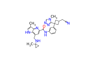 Cc1c[nH]c2c(CNC3(C)CC3)cc(C(=O)Nc3cccc(C4(c5nncn5C)CC(CC#N)C4)c3)nc12